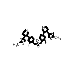 Cc1nc(-c2ccncc2-c2ccc(CS(=O)(=O)Cc3ccc(-c4cnccc4-c4csc(C)n4)cc3F)c(F)c2)cs1